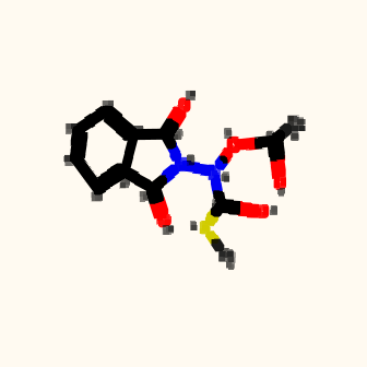 CCSC(=O)N(OC(=O)CC)N1C(=O)c2ccccc2C1=O